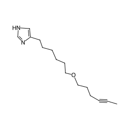 CC#CCCCOCCCCCCc1c[nH]cn1